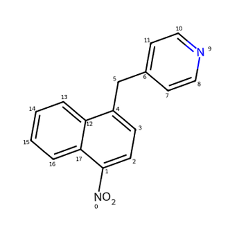 O=[N+]([O-])c1ccc(Cc2ccncc2)c2ccccc12